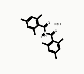 Cc1cc(C)c(C(=O)[PH](=O)C(=O)c2c(C)cc(C)cc2C)c(C)c1.[NaH]